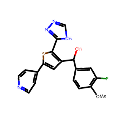 COc1ccc(C(O)c2cc(-c3ccncc3)sc2-c2nnc[nH]2)cc1F